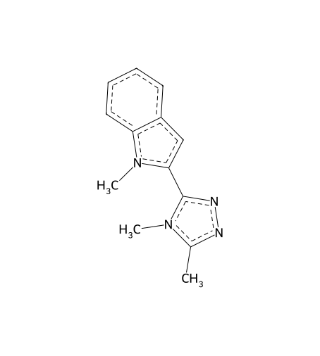 Cc1nnc(-c2cc3ccccc3n2C)n1C